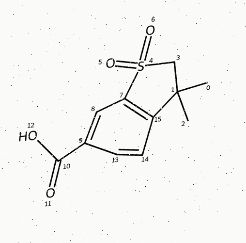 CC1(C)CS(=O)(=O)c2cc(C(=O)O)ccc21